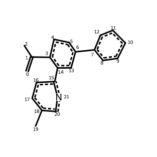 C=C(C)c1ccc(-c2ccccc2)cc1-c1ccc(C)cn1